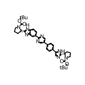 CC(C)(C)OC(=O)N1CCC[C@H]1c1ncc(-c2ccc(-c3cnc(-c4ccc5[nH]c([C@@H]6CCCN6C(=O)OC(C)(C)C)nc5c4)nc3)cc2)[nH]1